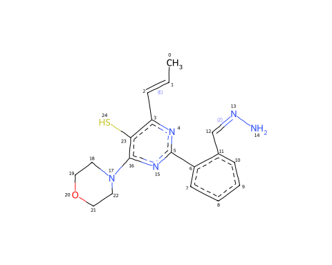 C/C=C/c1nc(-c2ccccc2/C=N\N)nc(N2CCOCC2)c1S